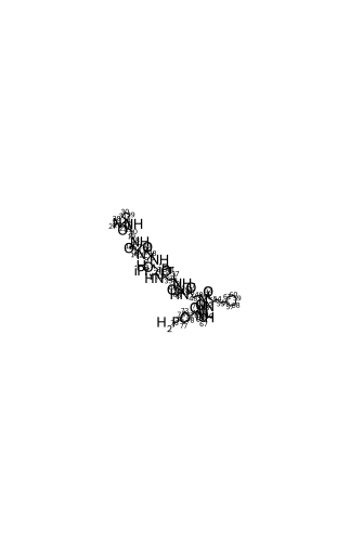 CC(C)CC(CC(=O)NC(C)(C)C(=O)NC(C)(C)C(=O)NCCC(=O)NC1(CN(C)C)CCC1)NC(=O)CC(CC(C)C)NC(=O)C(C)(C)NC(=O)CCNC(=O)C(CCC1CCCCC1)NC(=O)[C@@H]1CCCN1C(=O)c1ccc(P)cc1